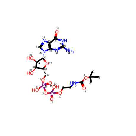 CC(C)(C)OC(=O)NCCOP(=O)(O)OP(=O)(O)OC[C@H]1O[C@@H](n2cnc3c(=O)[nH]c(N)nc32)[C@H](O)[C@@H]1O